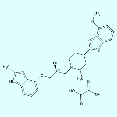 COc1cccc2sc(C3CCN(C[C@H](O)COc4cccc5[nH]c(C)cc45)C(C)C3)cc12.O=C(O)C(=O)O